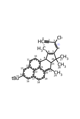 C#C/C(Cl)=C\C1=C(C)C2c3ccc4cc(C(C)(C)C)cc5ccc(c3c45)=C(C)C2C1(C)C